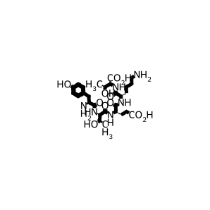 C[C@@H](O)[C@H](NC(=O)[C@H](CCCCN)NC(=O)[C@H](CCC(=O)O)NC(=O)[C@@H](NC(=O)[C@@H](N)Cc1ccc(O)cc1)[C@@H](C)O)C(=O)O